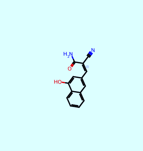 N#C/C(=C/c1cc(O)c2ccccc2c1)C(N)=O